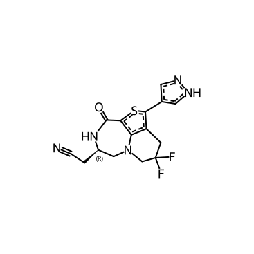 N#CC[C@@H]1CN2CC(F)(F)Cc3c(-c4cn[nH]c4)sc(c32)C(=O)N1